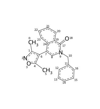 Cc1noc(C)c1-c1cn(Cc2ccccc2)c(=O)c2ccccc12